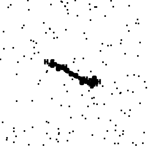 CC(=O)CCCC(=O)NCCCOCCOCCOCCCNC(=O)CCCC[C@@H]1SC[C@@H]2NC(=O)NC21